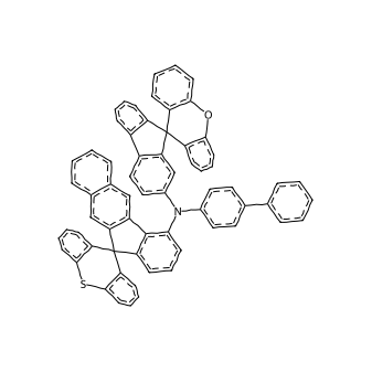 c1ccc(-c2ccc(N(c3ccc4c(c3)C3(c5ccccc5Oc5ccccc53)c3ccccc3-4)c3cccc4c3-c3cc5ccccc5cc3C43c4ccccc4Sc4ccccc43)cc2)cc1